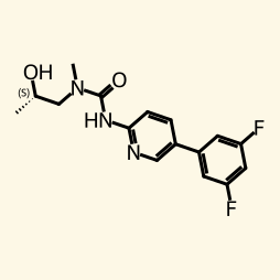 C[C@H](O)CN(C)C(=O)Nc1ccc(-c2cc(F)cc(F)c2)cn1